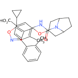 Cc1ccc(C(=O)O)cc1NC(=O)N1C2CCC1CC(OCc1c(-c3ccccc3C)noc1C1CC1)C2